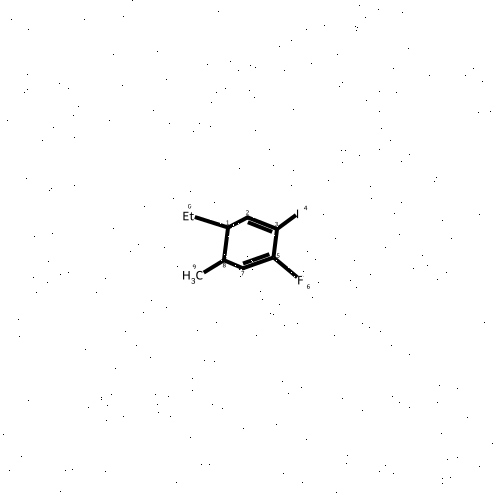 CCC1C=C(I)C(F)=CC1C